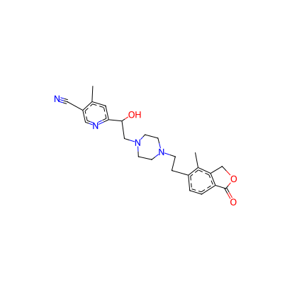 Cc1cc(C(O)CN2CCN(CCc3ccc4c(c3C)COC4=O)CC2)ncc1C#N